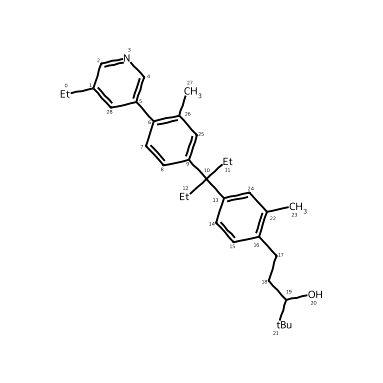 CCc1cncc(-c2ccc(C(CC)(CC)c3ccc(CCC(O)C(C)(C)C)c(C)c3)cc2C)c1